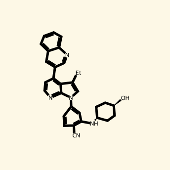 CCc1cn(-c2ccc(C#N)c(N[C@H]3CC[C@H](O)CC3)c2)c2nccc(-c3cnc4ccccc4c3)c12